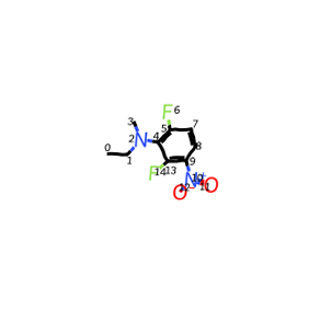 CCN(C)c1c(F)ccc([N+](=O)[O-])c1F